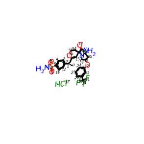 C[C@@H](c1ccc(S(N)(=O)=O)cc1)C1CC(C(N)=O)(N2CCC(Oc3cccc(C(F)(F)F)c3)C2)CCO1.Cl